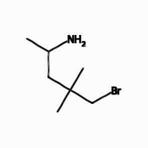 CC(N)CC(C)(C)CBr